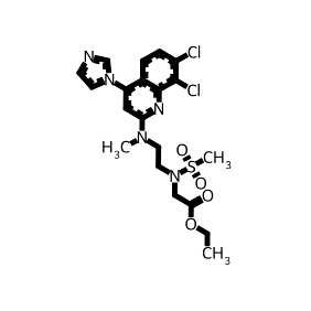 CCOC(=O)CN(CCN(C)c1cc(-n2ccnc2)c2ccc(Cl)c(Cl)c2n1)S(C)(=O)=O